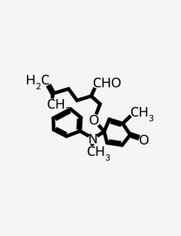 C=C(C)CCC(C=O)COC1(N(C)c2ccccc2)C=CC(=O)C(C)=C1